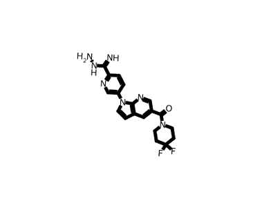 N=C(NN)c1ccc(-n2ccc3cc(C(=O)N4CCC(F)(F)CC4)cnc32)cn1